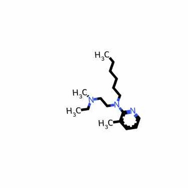 CCCCCCN(CCN(C)CC)c1ncccc1C